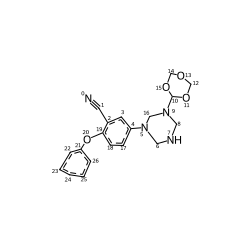 N#Cc1cc(N2CNCN(C3OCOCO3)C2)ccc1Oc1ccccc1